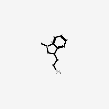 CN1CC(CCN)c2ccccc21